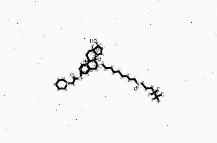 C[C@]12CC[C@@H]3c4ccc(OC(=O)CN5CCCCC5)cc4C[C@@H](CCCCCCCCC[S+]([O-])CCCC(F)(F)C(F)(F)F)[C@H]3[C@@H]1CC[C@@H]2O